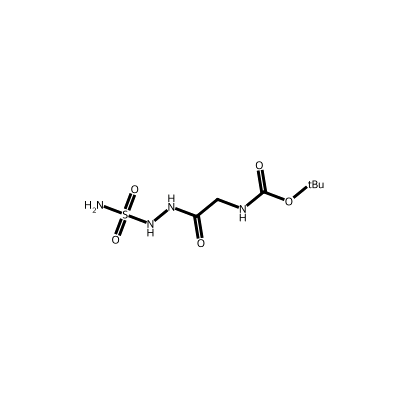 CC(C)(C)OC(=O)NCC(=O)NNS(N)(=O)=O